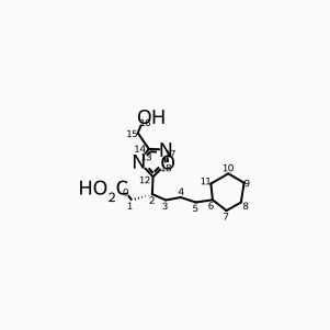 O=C(O)C[C@@H](CCCC1CCCCC1)c1nc(CO)no1